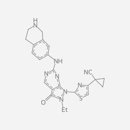 CCn1c(=O)c2cnc(Nc3ccc4c(c3)CNCC4)nc2n1-c1nc(C2(C#N)CC2)cs1